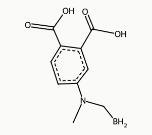 BCN(C)c1ccc(C(=O)O)c(C(=O)O)c1